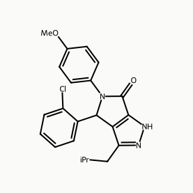 COc1ccc(N2C(=O)c3[nH]nc(CC(C)C)c3C2c2ccccc2Cl)cc1